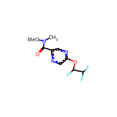 CON(C)C(=O)c1cnc(OC(F)C(F)F)cn1